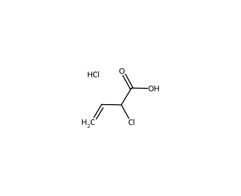 C=CC(Cl)C(=O)O.Cl